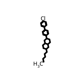 CCCCCCC1CCC2CC(c3ccc(-c4ccc(Cl)cc4)cc3)CCC2C1